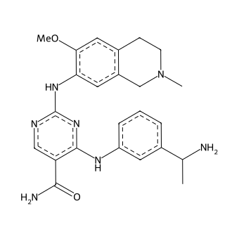 COc1cc2c(cc1Nc1ncc(C(N)=O)c(Nc3cccc(C(C)N)c3)n1)CN(C)CC2